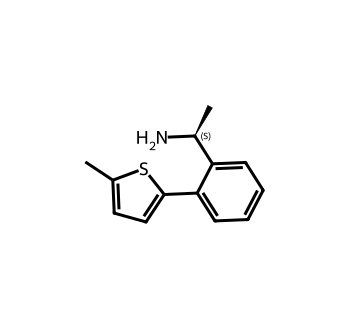 Cc1ccc(-c2ccccc2[C@H](C)N)s1